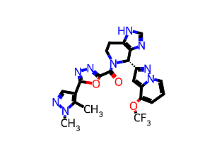 Cc1c(-c2nnc(C(=O)N3CCc4[nH]cnc4[C@@H]3c3cc4c(OC(F)(F)F)cccn4n3)o2)cnn1C